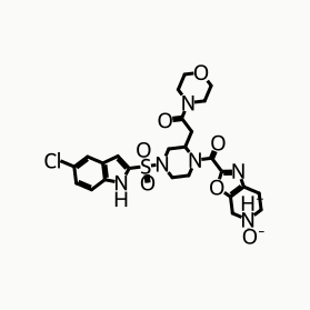 O=C(CC1CN(S(=O)(=O)c2cc3cc(Cl)ccc3[nH]2)CCN1C(=O)c1nc2c(o1)C[NH+]([O-])CC2)N1CCOCC1